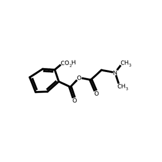 CN(C)CC(=O)OC(=O)c1ccccc1C(=O)O